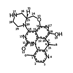 Cc1ccnc(C(C)C)c1-n1c(=O)nc2c3c(nc(O)c(F)c31)OC[C@H]1CNCCN21